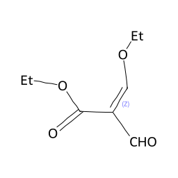 CCO/C=C(/C=O)C(=O)OCC